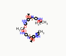 Cc1ccc(Nc2ccc(-c3cnc(C4CCC(NC(=O)OC(C)CCOc5ccc(Nc6ccc(-c7cnc(C8CCC(NC(=O)OC(C)C)CC8)s7)c(S(=O)(=O)C7CC7)c6)nc5)CC4)s3)c(S(=O)(=O)C3CC3)c2)nc1